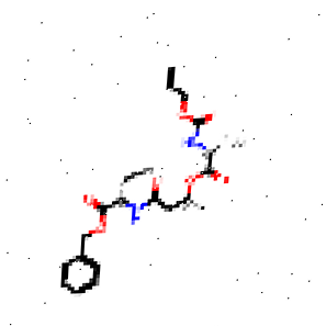 C=CCOC(=O)N[C@H](C(=O)O[C@H](C)CC(=O)N[C@@H](CC(C)C)C(=O)OCc1ccccc1)[C@@H](C)CC